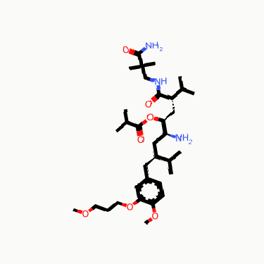 COCCCOc1cc(C[C@@H](C[C@H](N)[C@H](C[C@H](C(=O)NCC(C)(C)C(N)=O)C(C)C)OC(=O)C(C)C)C(C)C)ccc1OC